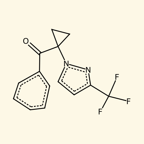 O=C(c1ccccc1)C1(n2ccc(C(F)(F)F)n2)CC1